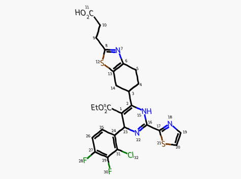 CCOC(=O)C1=C(C2CCc3nc(CCC(=O)O)sc3C2)NC(c2nccs2)=NC1c1ccc(F)c(F)c1Cl